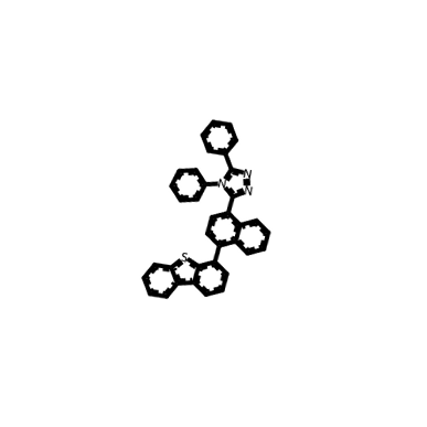 c1ccc(-c2nnc(-c3ccc(-c4cccc5c4sc4ccccc45)c4ccccc34)n2-c2ccccc2)cc1